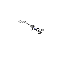 CCCCCCCCCCCCCCCCNC(=O)/C=C/c1ccc(O)c(O)c1